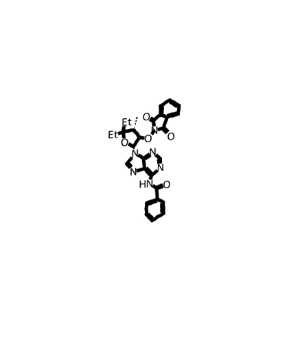 CCC1(CC)O[C@@H](n2cnc3c(NC(=O)c4ccccc4)ncnc32)C(ON2C(=O)c3ccccc3C2=O)[C@H]1C